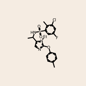 CCn1c(C(C)NS(=O)(=O)c2cc(F)cc(Cl)c2C)cnc1Oc1ccc(C)cc1